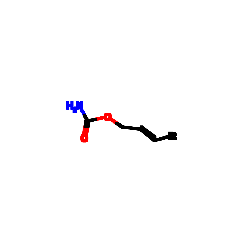 CCC=CCOC(N)=O